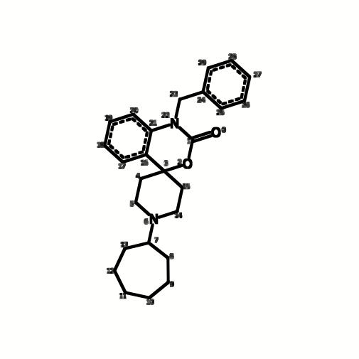 O=C1OC2(CCN(C3CCCCCC3)CC2)c2ccccc2N1Cc1ccccc1